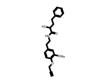 C#CCOc1ccc(CCNC(=O)C(O)CCc2ccccc2)cc1OC